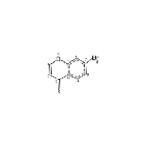 C=C1C=COc2cc(Br)ccc21